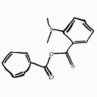 CN(C)c1ccccc1C(=O)OC(=O)c1ccccc1